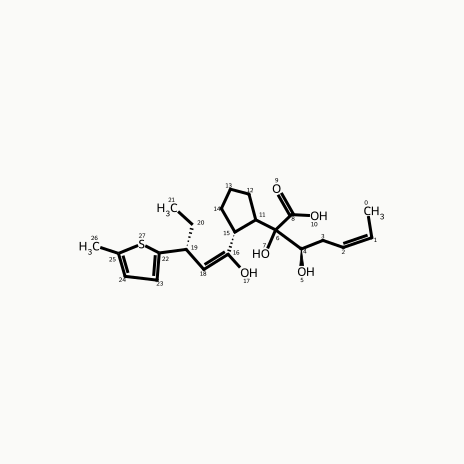 C/C=C\C[C@@H](O)C(O)(C(=O)O)C1CCC[C@H]1/C(O)=C\[C@@H](CC)c1ccc(C)s1